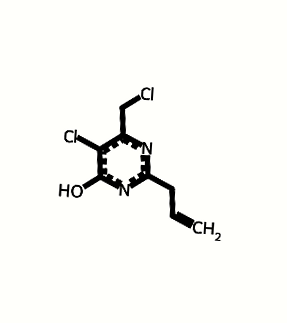 C=CCc1nc(O)c(Cl)c(CCl)n1